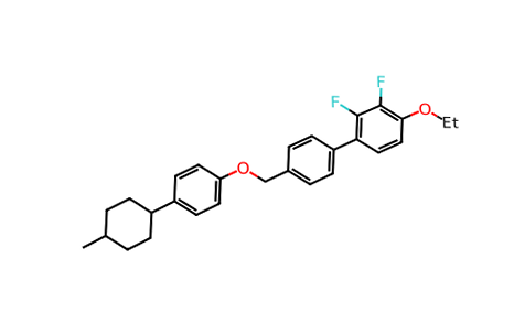 CCOc1ccc(-c2ccc(COc3ccc(C4CCC(C)CC4)cc3)cc2)c(F)c1F